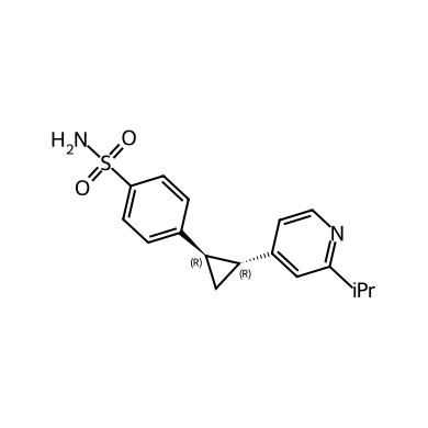 CC(C)c1cc([C@@H]2C[C@H]2c2ccc(S(N)(=O)=O)cc2)ccn1